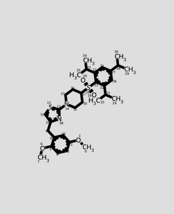 COc1ccc(OC)c(Cc2csc(N3CCC(S(=O)(=O)c4c(C(C)C)cc(C(C)C)cc4C(C)C)CC3)n2)c1